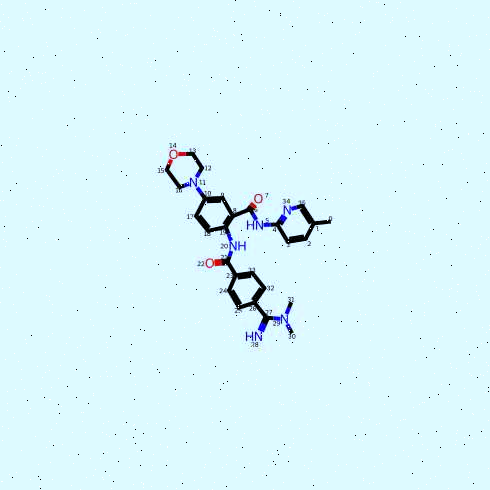 Cc1ccc(NC(=O)c2cc(N3CCOCC3)ccc2NC(=O)c2ccc(C(=N)N(C)C)cc2)nc1